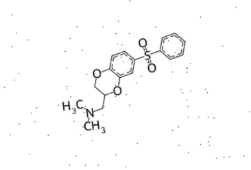 CN(C)CC1COc2ccc(S(=O)(=O)c3ccccc3)cc2O1